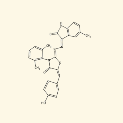 Cc1ccc2c(c1)C(=NN=C1SC(=Cc3ccc(O)cc3)C(=O)N1c1c(C)cccc1C)C(=O)N2